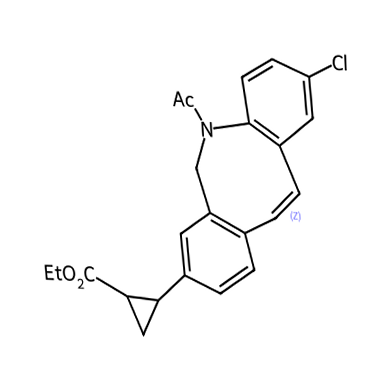 CCOC(=O)C1CC1c1ccc2c(c1)CN(C(C)=O)c1ccc(Cl)cc1/C=C\2